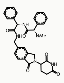 CN[C@H](C(=O)N[C@H](C(=O)NCc1ccc2c(c1)CN(C1CCC(=O)NC1=O)C2=O)c1ccccc1)c1ccccc1